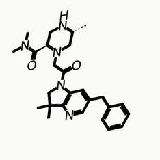 C[C@@H]1CN(CC(=O)N2CC(C)(C)c3ncc(Cc4ccccc4)cc32)[C@@H](C(=O)N(C)C)CN1